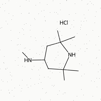 CNC1CC(C)(C)NC(C)(C)C1.Cl